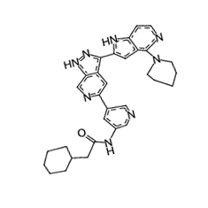 O=C(CC1CCCCC1)Nc1cncc(-c2cc3c(-c4cc5c(N6CCCCC6)nccc5[nH]4)n[nH]c3cn2)c1